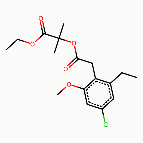 CCOC(=O)C(C)(C)OC(=O)Cc1c(CC)cc(Cl)cc1OC